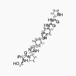 CC(C)[C@H](NC(=O)O)C(=O)N1CCC[C@H]1c1ncc(-c2ccc(-c3nc4ccc(NC(=O)NC(=O)[C@@H]5CCCN5)cc4s3)cc2)[nH]1